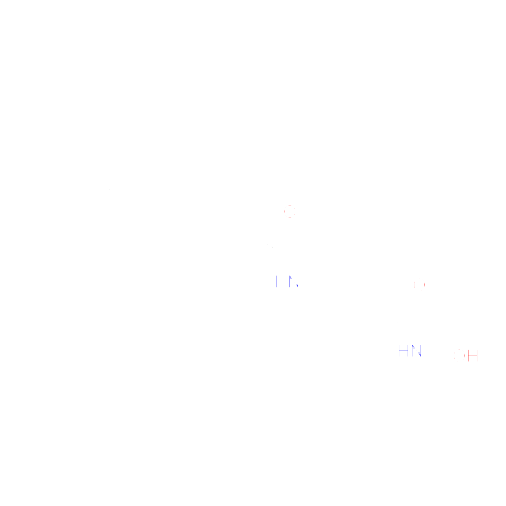 O=C(/C=C/C=C/c1ccccc1)NCCC(=O)NO